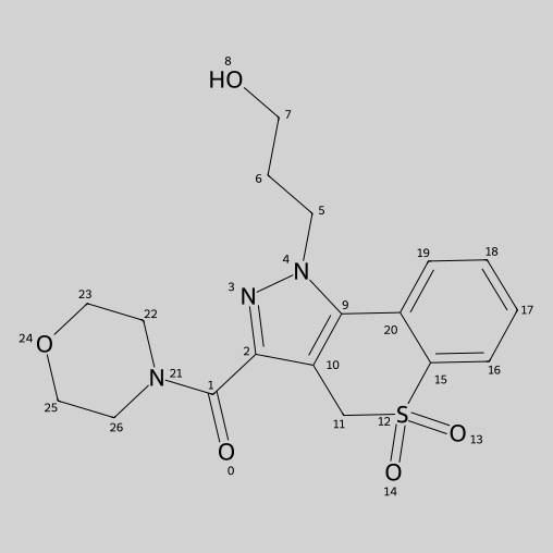 O=C(c1nn(CCCO)c2c1CS(=O)(=O)c1ccccc1-2)N1CCOCC1